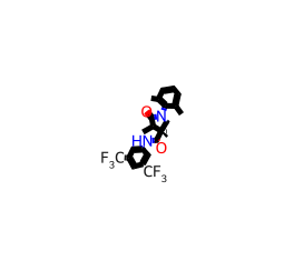 Cc1cccc(C)c1N1C[C@](C)(C(=O)Nc2cc(C(F)(F)F)cc(C(F)(F)F)c2)C(C)C1=O